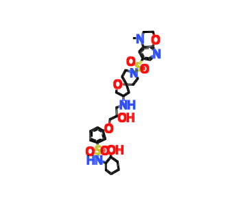 CN1CCOc2ncc(S(=O)(=O)N3CCC4(CC3)C[C@@H](NC[C@H](O)COc3cccc(S(=O)(=O)N[C@@H]5CCCC[C@@H]5O)c3)CO4)cc21